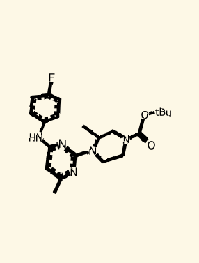 Cc1cc(Nc2ccc(F)cc2)nc(N2CCN(C(=O)OC(C)(C)C)CC2C)n1